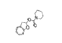 O=C(OC1Cc2ccccc2O1)N1CCCCC1